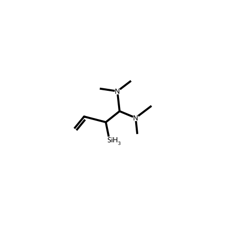 C=CC([SiH3])C(N(C)C)N(C)C